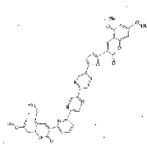 CC(C)(C)Oc1cc(OC(C)(C)C)c2cc(-c3cccc(-c4cnc(-c5cnc(-c6ccc(-c7cc8c(OC(C)(C)C)cc(OC(C)(C)C)cc8oc7=O)o6)cn5)cn4)n3)c(=O)oc2c1